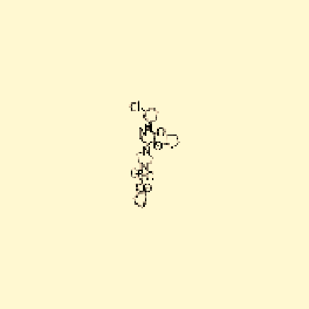 O=c1c(OC2CCCC2)c(N2CCN(S(=O)(=O)c3cc4ccccc4o3)CC2)cnn1-c1cccc(Cl)c1